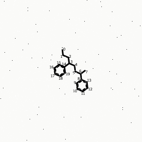 [CH2]CCC(CCC(C)c1ccccc1)c1ccccc1